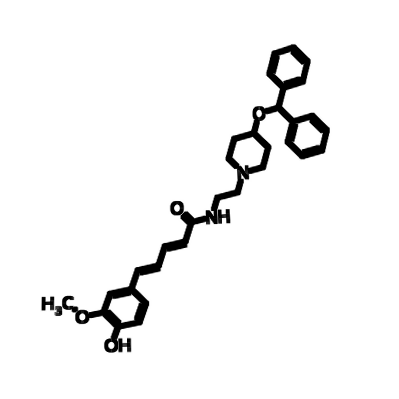 COc1cc(C=CC=CC(=O)NCCN2CCC(OC(c3ccccc3)c3ccccc3)CC2)ccc1O